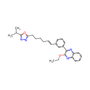 CCOc1nc2ccccc2nc1-c1cccc(/C=C/CCCCc2nnc(C(C)C)o2)c1